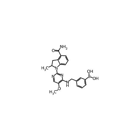 COc1cnc(N2c3cccc(C(N)=O)c3CC2C)nc1NCc1cccc(B(O)O)c1